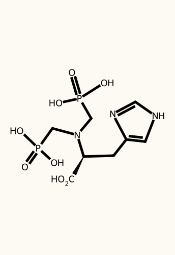 O=C(O)[C@H](Cc1c[nH]cn1)N(CP(=O)(O)O)CP(=O)(O)O